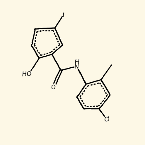 Cc1cc(Cl)ccc1NC(=O)c1cc(I)ccc1O